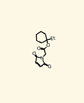 CCC1(OC(=O)CN2C(=O)C=CC2=O)CCCCC1